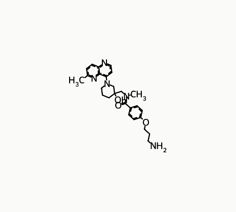 Cc1ccc2nccc(N3CCCC(O)(CN(C)C(=O)c4ccc(OCCCN)cc4)C3)c2n1